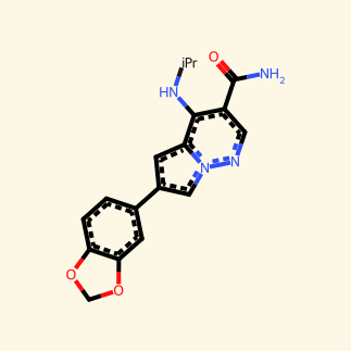 CC(C)Nc1c(C(N)=O)cnn2cc(-c3ccc4c(c3)OCO4)cc12